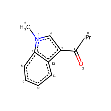 CC(C)C(=O)c1cn(C)c2ccccc12